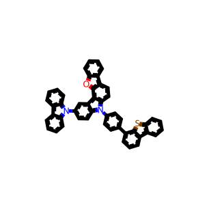 c1ccc2c(c1)oc1c2ccc2c1c1cc(-n3c4ccccc4c4ccccc43)ccc1n2-c1ccc(-c2cccc3c2sc2ccccc23)cc1